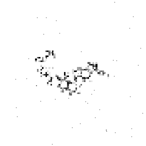 COC(=O)C1CCN(C(=O)Cn2ccc3cccc(Nc4ccc5c(cnn5C)c4)c3c2=O)C1